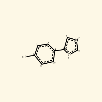 Ic1ccc(-c2cn[c]o2)cc1